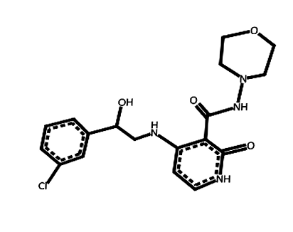 O=C(NN1CCOCC1)c1c(NCC(O)c2cccc(Cl)c2)cc[nH]c1=O